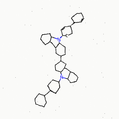 C1=CC([C@@H]2C=C[C@H](N3C4CCCCC4C4CC(C5CCC6C(C5)C5CCCCC5N6C5CCC(C6CCCCC6)CC5)CCC43)CC2)CCC1